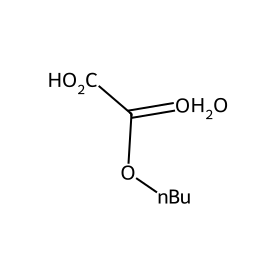 CCCCOC(=O)C(=O)O.O